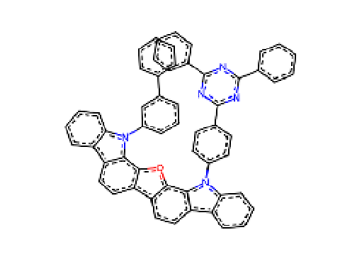 c1ccc(-c2cccc(-n3c4ccccc4c4ccc5c6ccc7c8ccccc8n(-c8ccc(-c9nc(-c%10ccccc%10)nc(-c%10ccccc%10)n9)cc8)c7c6oc5c43)c2)cc1